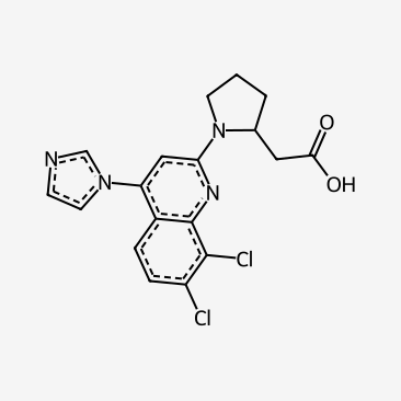 O=C(O)CC1CCCN1c1cc(-n2ccnc2)c2ccc(Cl)c(Cl)c2n1